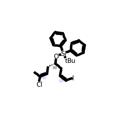 C/C(Cl)=C\C[C@@H](C/C=C\I)O[Si](c1ccccc1)(c1ccccc1)C(C)(C)C